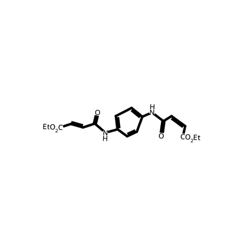 CCOC(=O)/C=C\C(=O)Nc1ccc(NC(=O)/C=C/C(=O)OCC)cc1